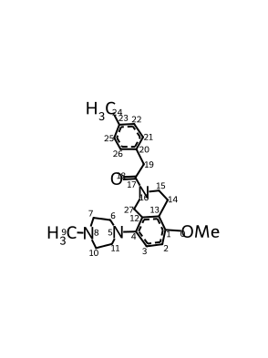 COc1ccc(N2CCN(C)CC2)c2c1CCN(C(=O)Cc1ccc(C)cc1)C2